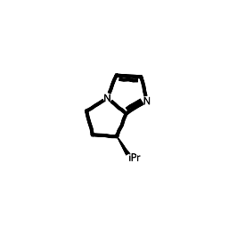 CC(C)[C@H]1CCn2ccnc21